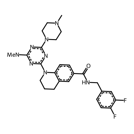 CNc1nc(N2CCN(C)CC2)nc(N2CCCc3cc(C(=O)NCc4ccc(F)c(F)c4)ccc32)n1